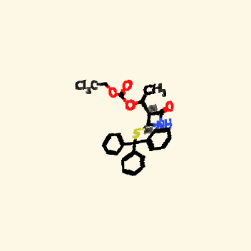 CC(OC(=O)OCC(Cl)(Cl)Cl)[C@H]1C(=O)N[C@@H]1SC(c1ccccc1)(c1ccccc1)c1ccccc1